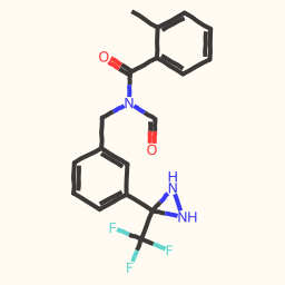 Cc1ccccc1C(=O)N(C=O)Cc1cccc(C2(C(F)(F)F)NN2)c1